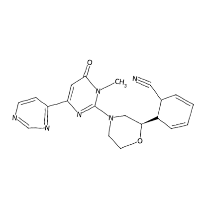 Cn1c(N2CCO[C@H](C3C=CC=CC3C#N)C2)nc(-c2ccncn2)cc1=O